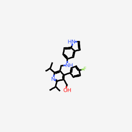 CC(C)c1nc(C(C)C)c(CNc2ccc3[nH]ccc3c2)c(-c2ccc(F)cc2)c1CO